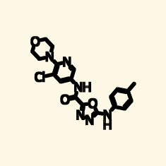 Cc1ccc(Nc2nnc(C(=O)Nc3cnc(N4CCOCC4)c(Cl)c3)o2)cc1